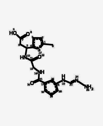 Cc1ccc(C(CC(=O)O)NC(=O)CNC(=O)c2cccc(NC=NN)c2)s1